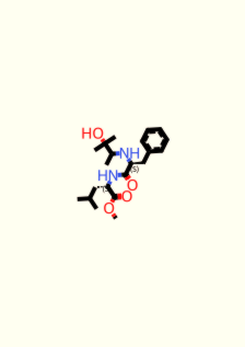 COC(=O)[C@H](CC(C)C)NC(=O)[C@H](Cc1ccccc1)NC(C)C(C)(C)O